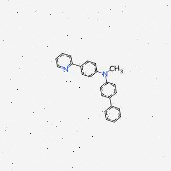 CN(c1ccc(-c2ccccc2)cc1)c1ccc(-c2ccccn2)cc1